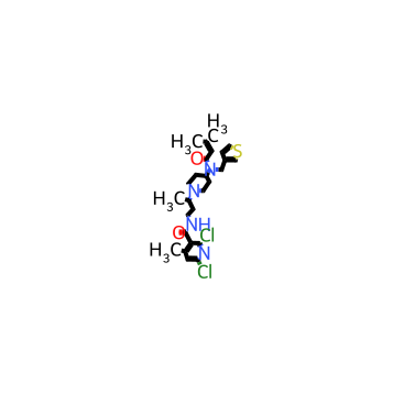 CC(C)=CC(=O)N(Cc1ccsc1)C1CCN(C(C)CCNC(=O)c2c(C)cc(Cl)nc2Cl)CC1